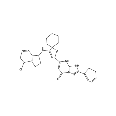 O=C1C=C(COC2(C(=O)NC3CCC4=C3C=CCC4Cl)CCCCC2)NC2NC(C3=CC=CCC3)=NN12